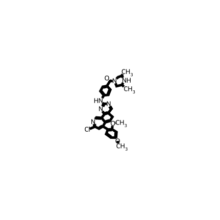 COc1ccc(C2=CC(Cl)=NC=C3C2=CCc2cnc(Nc4ccc(C(=O)N5CC(C)NC(C)C5)cc4)nc23)c(OC)c1